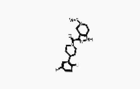 CSN1CCc2[nH]nc(C(=O)N3CCC(c4cc(F)ccc4Cl)CC3)c2C1